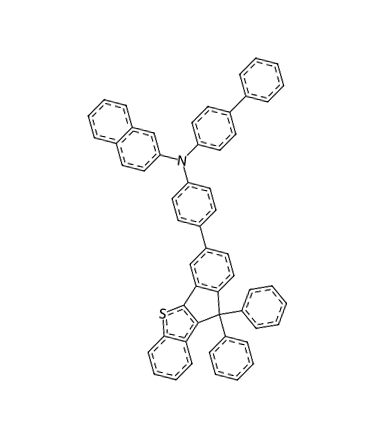 c1ccc(-c2ccc(N(c3ccc(-c4ccc5c(c4)-c4sc6ccccc6c4C5(c4ccccc4)c4ccccc4)cc3)c3ccc4ccccc4c3)cc2)cc1